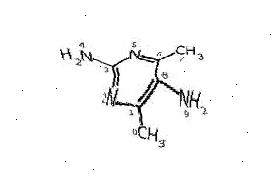 Cc1nc(N)nc(C)c1N